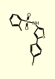 Cc1ccccc1S(=O)(=O)Nc1csc(-c2ccc(F)cc2)c1